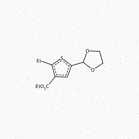 CCOC(=O)c1cc(C2OCCO2)sc1CC